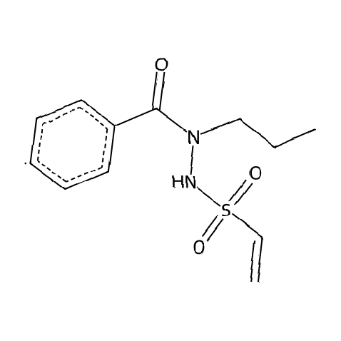 C=CS(=O)(=O)NN(CCC)C(=O)c1cc[c]cc1